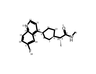 CNC(=O)[C@H](C)[C@H]1CC[C@@H](c2ccnc3ccc(F)cc32)CC1